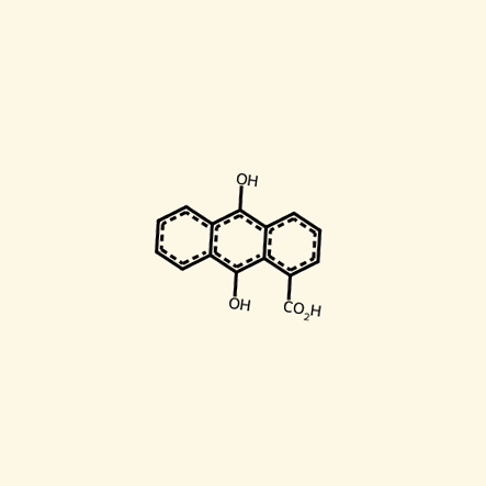 O=C(O)c1cccc2c(O)c3ccccc3c(O)c12